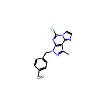 COc1ccc(Cn2nc(I)c3c2nc(Cl)n2ccnc32)cc1